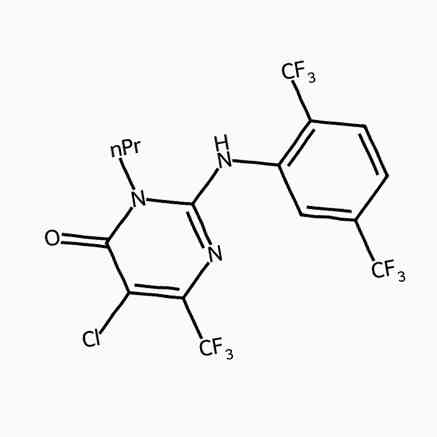 CCCn1c(Nc2cc(C(F)(F)F)ccc2C(F)(F)F)nc(C(F)(F)F)c(Cl)c1=O